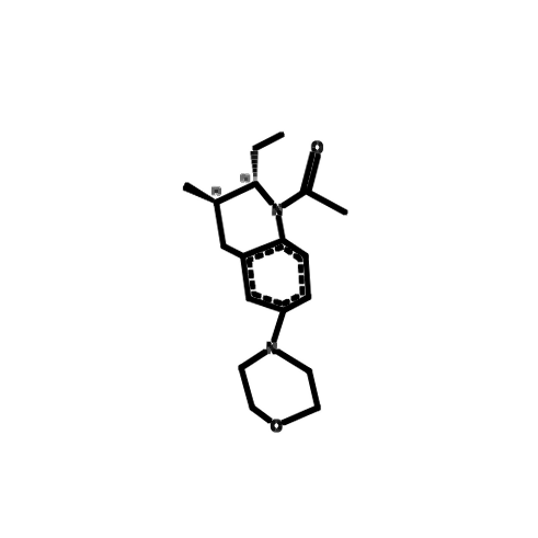 CC[C@H]1[C@H](C)Cc2cc(N3CCOCC3)ccc2N1C(C)=O